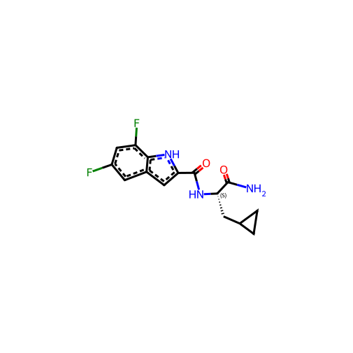 NC(=O)[C@H](CC1CC1)NC(=O)c1cc2cc(F)cc(F)c2[nH]1